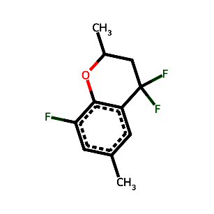 Cc1cc(F)c2c(c1)C(F)(F)CC(C)O2